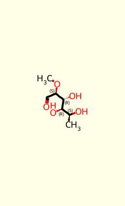 CO[C@H](C=O)[C@H](O)[C@H](O)[C@H](C)O